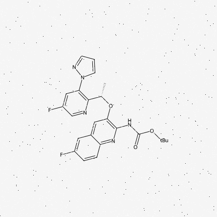 C[C@H](Oc1cc2cc(F)ccc2nc1NC(=O)OC(C)(C)C)c1ncc(F)cc1-n1cccn1